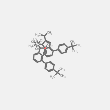 CC1=Cc2c(-c3ccc(C(C)(C)C)cc3)cccc2[CH]1[Zr]([CH3])([CH3])([SiH3])([Cl])([Cl])[CH]1C(C(C)C)=Cc2c(-c3ccc(C(C)(C)C)cc3)cccc21